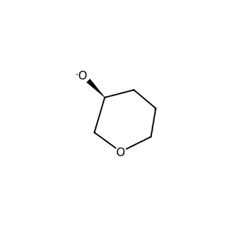 [O][C@H]1CCCOC1